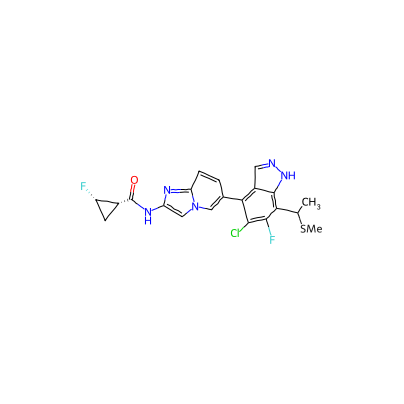 CSC(C)c1c(F)c(Cl)c(-c2ccc3nc(NC(=O)[C@@H]4C[C@@H]4F)cn3c2)c2cn[nH]c12